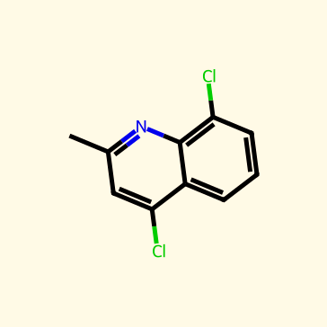 Cc1cc(Cl)c2cccc(Cl)c2n1